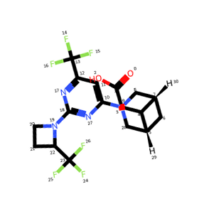 O=C(O)CC1[C@@H]2C[C@H]1CN(c1cc(C(F)(F)F)nc(N3CCC3C(F)(F)F)n1)C2